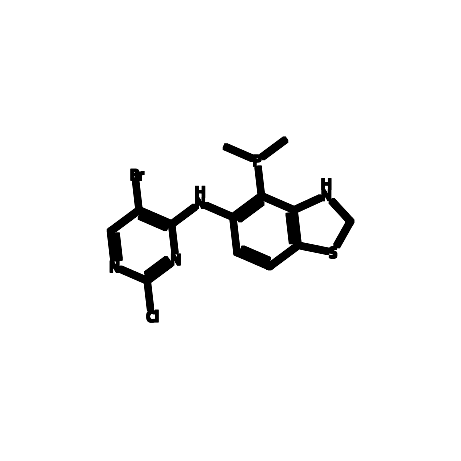 CP(C)c1c(Nc2nc(Cl)ncc2Br)ccc2c1NCS2